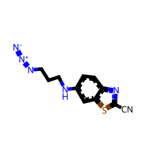 N#Cc1nc2ccc(NCCCN=[N+]=[N-])cc2s1